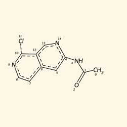 CC(=O)Nc1cc2ccnc(Cl)c2cn1